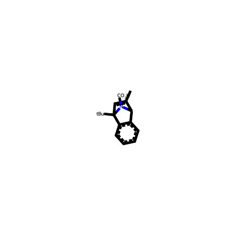 CC1=CC2(C(C)(C)C)c3ccccc3C1N2C(=O)O